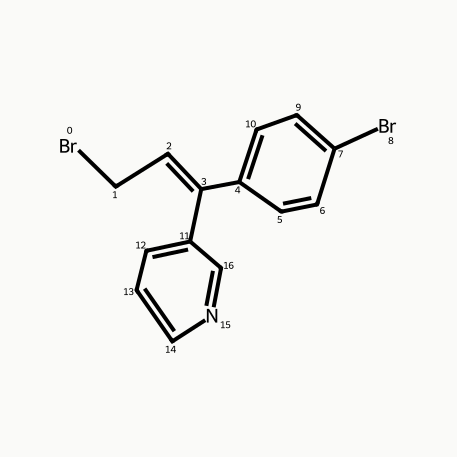 BrCC=C(c1ccc(Br)cc1)c1cccnc1